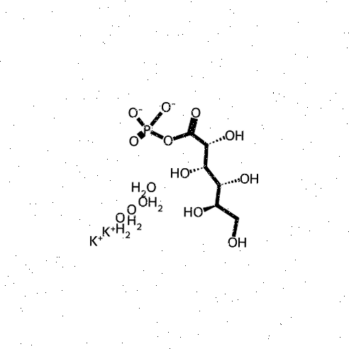 O.O.O.O.O=C(OP(=O)([O-])[O-])[C@H](O)[C@@H](O)[C@H](O)[C@H](O)CO.[K+].[K+]